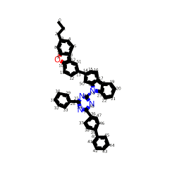 CCCc1ccc2c(c1)oc1ccc(-c3ccc4c5ccccc5n(-c5nc(-c6ccccc6)nc(-c6ccc(-c7ccccc7)cc6)n5)c4c3)cc12